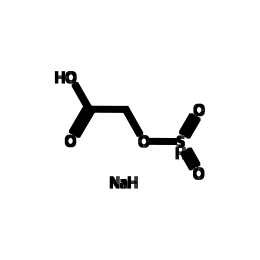 O=C(O)CO[SH](=O)=O.[NaH]